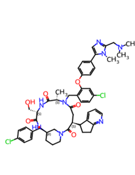 C[C@H]1C(=O)N[C@@H](CO)C(=O)N[C@@]2(Cc3ccc(Cl)cc3)CCCN(C2)C(=O)[C@H](C2CCc3ncccc32)CC(=O)N1Cc1ccc(Cl)cc1Oc1ccc(-c2cnc(CN(C)C)n2C)cc1